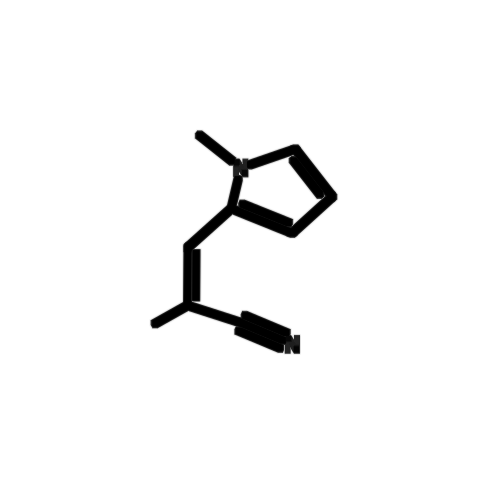 C/C(C#N)=C/c1cccn1C